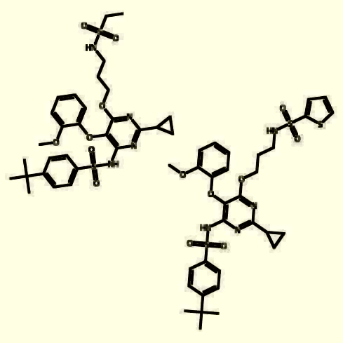 CCS(=O)(=O)NCCCOc1nc(C2CC2)nc(NS(=O)(=O)c2ccc(C(C)(C)C)cc2)c1Oc1ccccc1OC.COc1ccccc1Oc1c(NS(=O)(=O)c2ccc(C(C)(C)C)cc2)nc(C2CC2)nc1OCCCNS(=O)(=O)c1cccs1